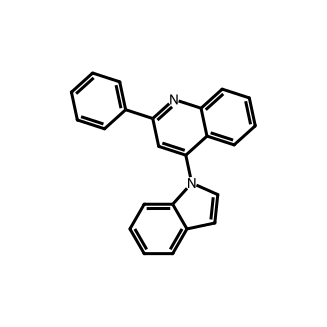 c1ccc(-c2cc(-n3ccc4ccccc43)c3ccccc3n2)cc1